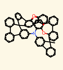 CC1(C)c2ccccc2-c2ccc(N(c3ccc4c(c3)C3(c5ccccc5-c5ccccc5-4)c4ccccc4-c4c3ccc3c4oc4ccccc43)c3cccc4c3Oc3ccccc3-c3ccccc3-4)cc21